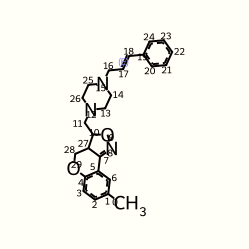 Cc1ccc2c(c1)C1=NOC(CN3CCN(C/C=C/c4ccccc4)CC3)C1CO2